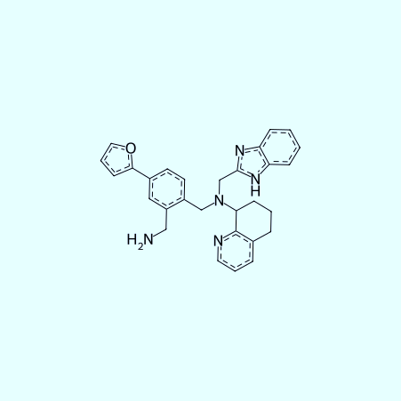 NCc1cc(-c2ccco2)ccc1CN(Cc1nc2ccccc2[nH]1)C1CCCc2cccnc21